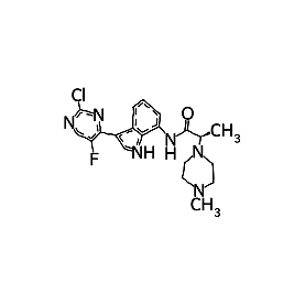 C[C@H](C(=O)Nc1cccc2c(-c3nc(Cl)ncc3F)c[nH]c12)N1CCN(C)CC1